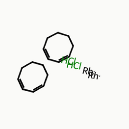 C1=CCCCCC=C1.C1=CCCCCC=C1.Cl.Cl.[Rh].[Rh]